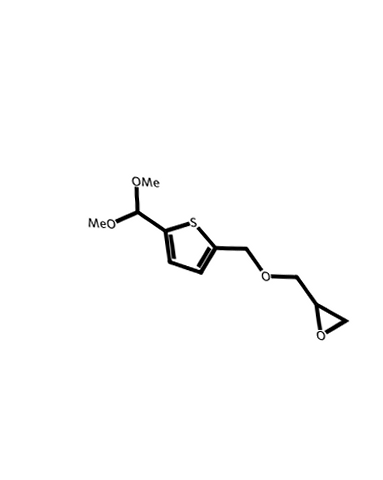 COC(OC)c1ccc(COCC2CO2)s1